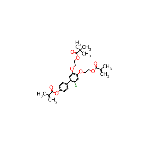 C=C(C)C(=O)OCCOc1cc(F)c(-c2ccc(OC(=O)C(=C)C)cc2)cc1OCCOC(=O)C(C)(C)C